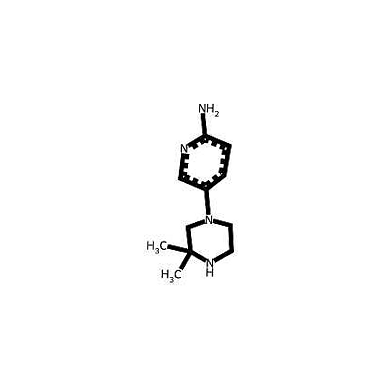 CC1(C)CN(c2ccc(N)nc2)CCN1